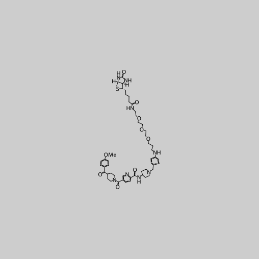 COc1ccc(C(=O)C2CCN(C(=O)c3ccc(C(=O)NC4CCN(Cc5ccc(NCCCOCCOCCOCCNC(=O)CCCC[C@@H]6SC[C@@H]7NC(=O)N[C@@H]76)cc5)CC4)nc3)CC2)cc1